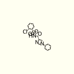 O=C(NS(=O)(=O)c1ccccc1Cl)c1cn(-c2ccccc2)cn1